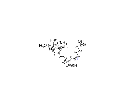 CCCCC[C@@H](CCC1=CC[C@H](O)[C@@H]1C/C=C\CCCC(=O)O)O[Si](C)(C)C(C)(C)C